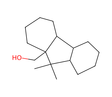 CC1(C)C2CCCCC2C2CCCCC21CO